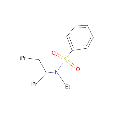 CCN(C(CC(C)C)C(C)C)S(=O)(=O)c1ccccc1